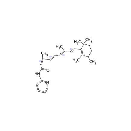 CC1=C(/C=C/C(C)=C/C=C/C(C)=C\C(=O)Nc2ccccn2)C(C)(C)CCC1C